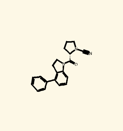 N#CN1CCC[C@H]1C(=O)N1CCc2c(-c3ccccc3)cccc21